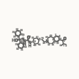 CC(C)C(=O)c1ccc2c(c1)CCN(CC[C@H]1CC[C@H](NC(=O)N[C@@H](C)C(O)(c3ccccc3)c3ccccc3)CC1)CC2